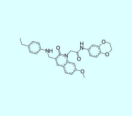 CCc1ccc(NCc2cc3ccc(OC)cc3n(CC(=O)Nc3ccc4c(c3)OCCO4)c2=O)cc1